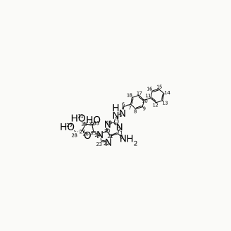 Nc1nc(N/N=C/c2ccc(-c3ccccc3)cc2)nc2c1ncn2[C@@H]1O[C@H](CO)C(O)C1O